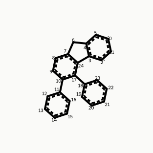 [c]1[c][c]c2c([c]1)Cc1ccc(-c3ccccc3)c(-c3ccccc3)c1-2